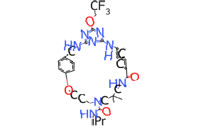 CC(C)NC(=O)N1CCCOc2ccc(cc2)CNc2nc(nc(OCC(F)(F)F)n2)Nc2ccc(cc2)C(=O)NCC(C)(C)C1